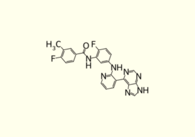 Cc1cc(C(=O)Nc2cc(Nc3ncccc3-c3ncnc4[nH]cnc34)ccc2F)ccc1F